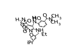 CC[C@@H](NC1=NS(=O)(=O)C(S(N)(=O)=O)=C1Nc1cccc(C(=O)N(C)C)c1O)c1cc(C(C)C)co1